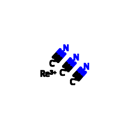 [C-]#N.[C-]#N.[C-]#N.[Re+3]